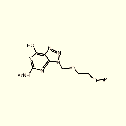 CC(=O)Nc1nc(O)c2nnn(COCCOC(C)C)c2n1